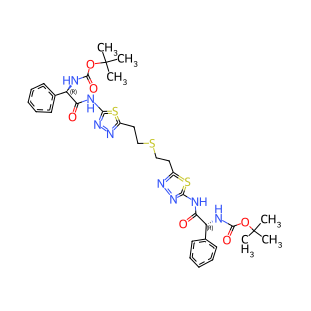 CC(C)(C)OC(=O)N[C@@H](C(=O)Nc1nnc(CCSCCc2nnc(NC(=O)[C@H](NC(=O)OC(C)(C)C)c3ccccc3)s2)s1)c1ccccc1